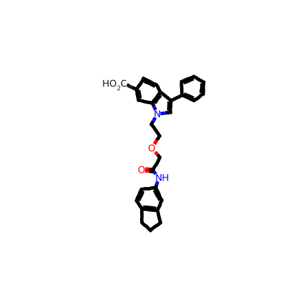 O=C(COCCn1cc(-c2ccccc2)c2ccc(C(=O)O)cc21)Nc1ccc2c(c1)CCC2